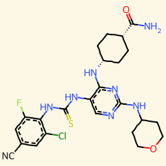 N#Cc1cc(F)c(NC(=S)Nc2cnc(NC3CCOCC3)nc2N[C@H]2CC[C@@H](C(N)=O)CC2)c(Cl)c1